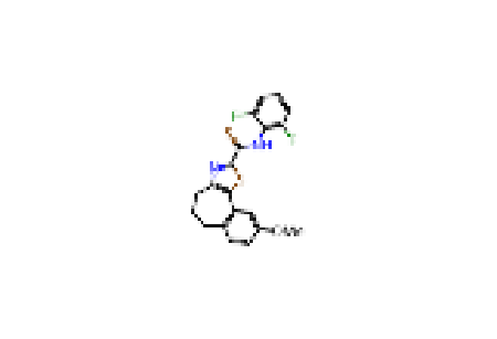 COc1ccc2c(c1)-c1sc(C(=S)Nc3c(F)cccc3F)nc1CCC2